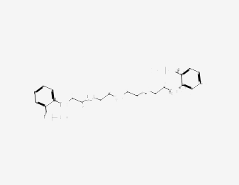 O=Cc1ccccc1OCCOCCOCCOCCOc1ccccc1C=O